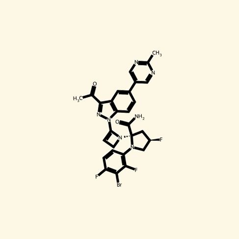 CC(=O)c1nn(C2=CCN2[C@]2(C(N)=O)C[C@@H](F)CN2c2ccc(F)c(Br)c2F)c2ccc(-c3cnc(C)nc3)cc12